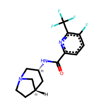 O=C(N[C@@H]1C[C@@H]2CCN(C2)C1)c1ccc(F)c(C(F)(F)F)n1